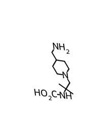 CC(C)(CN1CCC(CN)CC1)NC(=O)O